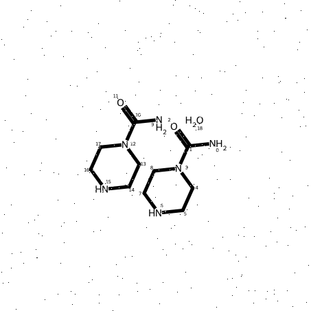 NC(=O)N1CCNCC1.NC(=O)N1CCNCC1.O